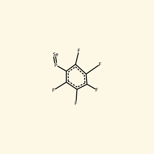 Fc1c(F)c(F)c(P=[Se])c(F)c1F